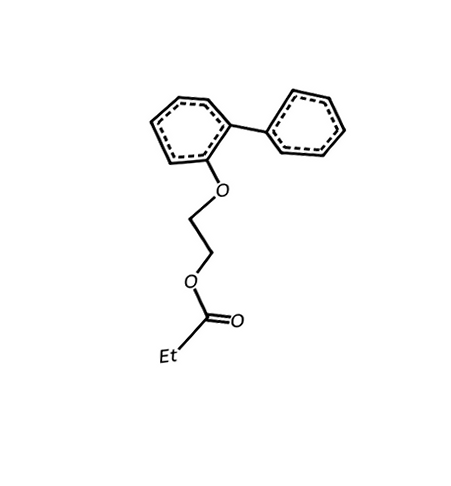 CCC(=O)OCCOc1ccccc1-c1ccccc1